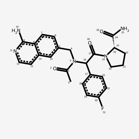 CC(=O)N(Cc1ccc2c(N)nccc2c1)C(C(=O)N1CCC[C@H]1C(N)=O)c1ccc(F)cc1